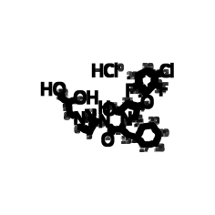 Cl.O=C(Nc1ccn(CC(O)CO)n1)C(CC1CCCCC1)N1CC(Oc2c(F)ccc(Cl)c2F)=CC1=O